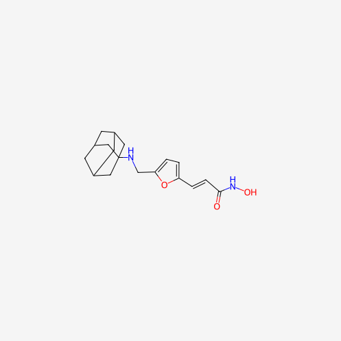 O=C(/C=C/c1ccc(CNC23CC4CC(CC(C4)C2)C3)o1)NO